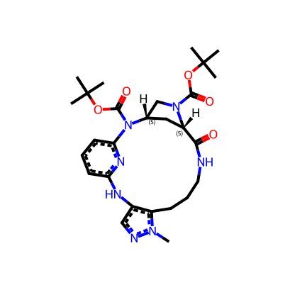 Cn1ncc2c1CCCNC(=O)[C@@H]1C[C@@H](CN1C(=O)OC(C)(C)C)N(C(=O)OC(C)(C)C)c1cccc(n1)N2